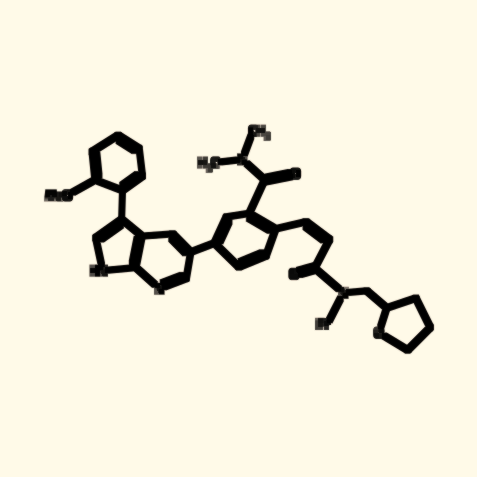 COc1ccccc1-c1c[nH]c2ncc(-c3ccc(/C=C\C(=O)N(CC4CCCO4)C(C)C)c(C(=O)N(C)C)c3)cc12